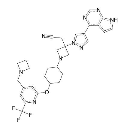 N#CCC1(n2cc(-c3ncnc4[nH]ccc34)cn2)CN(C2CCC(Oc3cc(CN4CCC4)cc(C(F)(F)F)n3)CC2)C1